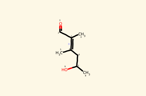 C/C(C=O)=C(/C)CC(C)O